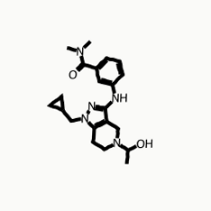 CC(O)N1CCc2c(c(Nc3cccc(C(=O)N(C)C)c3)nn2CC2CC2)C1